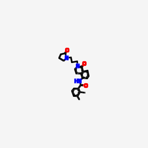 Cc1cccc(C(=O)Nc2cccc3c(=O)n(CCCN4CCCC4=O)ccc23)c1C